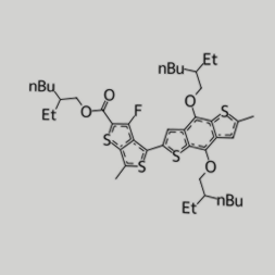 CCCCC(CC)COC(=O)c1sc2c(C)sc(-c3cc4c(OCC(CC)CCCC)c5sc(C)cc5c(OCC(CC)CCCC)c4s3)c2c1F